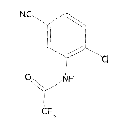 N#Cc1ccc(Cl)c(NC(=O)C(F)(F)F)c1